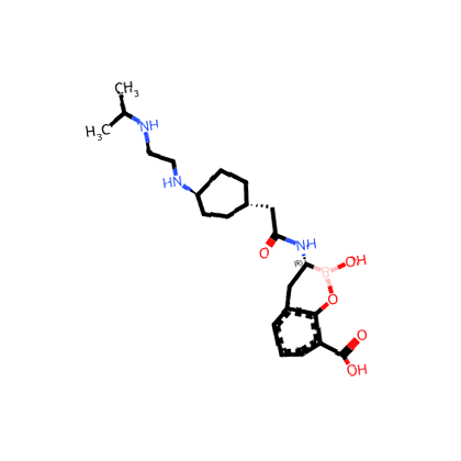 CC(C)NCCN[C@H]1CC[C@H](CC(=O)N[C@H]2Cc3cccc(C(=O)O)c3OB2O)CC1